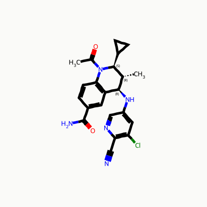 CC(=O)N1c2ccc(C(N)=O)cc2[C@H](Nc2cnc(C#N)c(Cl)c2)[C@@H](C)[C@@H]1C1CC1